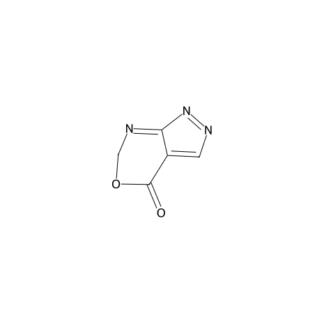 O=C1OCN=C2N=NC=C12